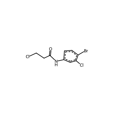 O=C(CCCl)Nc1ccc(Br)c(Cl)c1